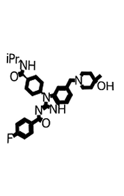 CC(C)NC(=O)[C@H]1CC[C@@H](n2/c(=N/C(=O)c3ccc(F)cc3)[nH]c3ccc(CN4CCC(C)(O)CC4)cc32)CC1